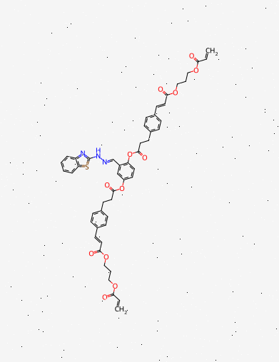 C=CC(=O)OCCCOC(=O)/C=C/c1ccc(CCC(=O)Oc2ccc(OC(=O)CCc3ccc(/C=C/C(=O)OCCCOC(=O)C=C)cc3)c(/C=N/Nc3nc4ccccc4s3)c2)cc1